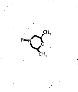 CC1CN(F)C[C@@H](C)O1